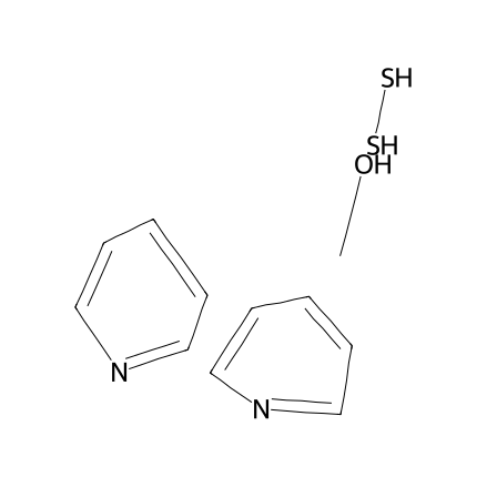 CO.SS.c1ccncc1.c1ccncc1